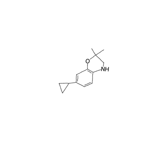 CC1(C)CNc2ccc(C3CC3)cc2O1